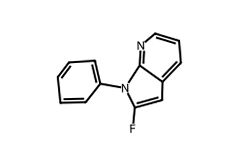 Fc1cc2cccnc2n1-c1ccccc1